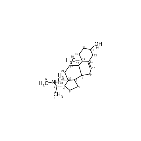 CNC(C)[C@H]1CCC2C3CC=C4CC(O)CC[C@]4(C)C3CC[C@@]21C